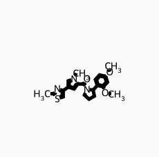 COc1ccc(C2CCCN2C(=O)c2cc(-c3csc(C)n3)cn2C)c(OC)c1